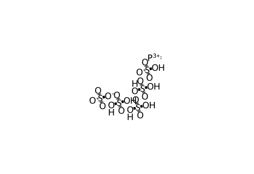 O=S(=O)(O)O.O=S(=O)(O)O.O=S(=O)(O)O.O=S(=O)([O-])O.O=S(=O)([O-])[O-].[P+3]